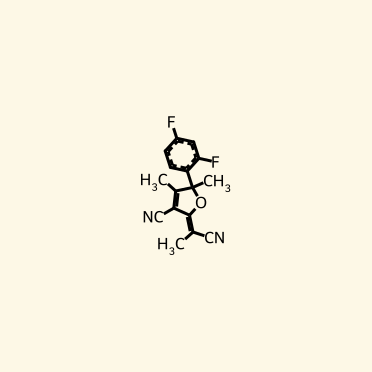 CC1=C(C#N)/C(=C(\C)C#N)OC1(C)c1ccc(F)cc1F